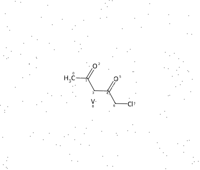 CC(=O)CC(=O)CCl.[V]